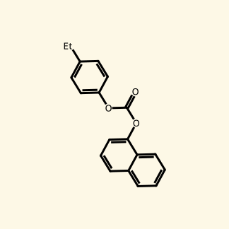 CCc1ccc(OC(=O)Oc2cccc3ccccc23)cc1